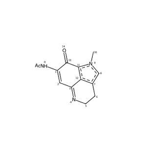 CC(=O)NC1=CC2=NCCc3cn(C)c(c32)C1=O